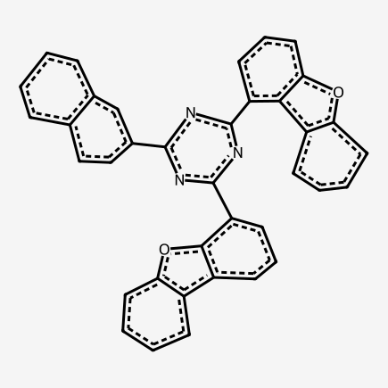 c1ccc2cc(-c3nc(-c4cccc5c4oc4ccccc45)nc(-c4cccc5oc6ccccc6c45)n3)ccc2c1